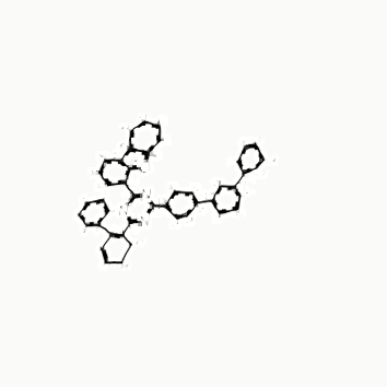 C1=CC(c2ccccc2)=C(c2nc(-c3ccc(-c4cccc(-c5ccccc5)c4)cc3)nc(-c3cccc4c3oc3ccccc34)n2)CC1